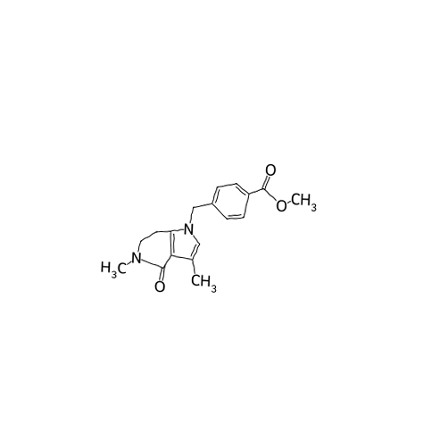 COC(=O)c1ccc(Cn2cc(C)c3c2CCN(C)C3=O)cc1